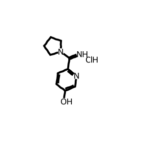 Cl.N=C(c1ccc(O)cn1)N1CCCC1